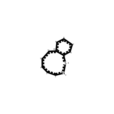 c1ccnsc2ccccc2cc1